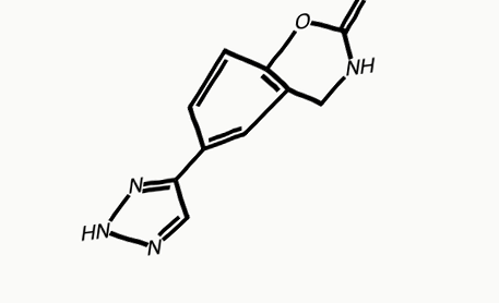 O=C1NCc2cc(-c3cn[nH]n3)ccc2O1